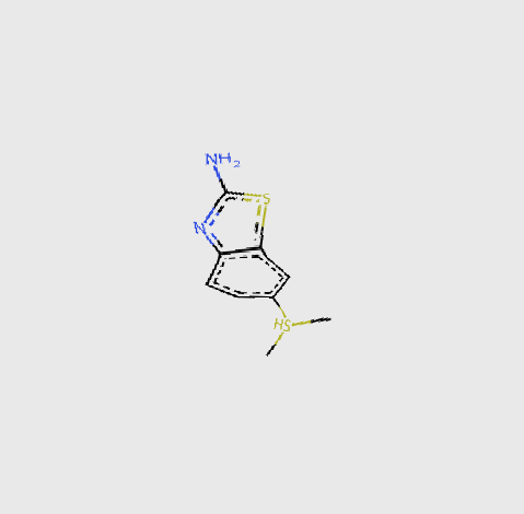 C[SH](C)c1ccc2nc(N)sc2c1